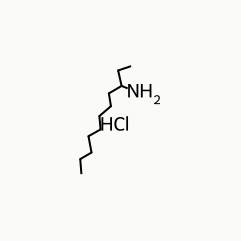 CCCCCCCCC(N)CC.Cl